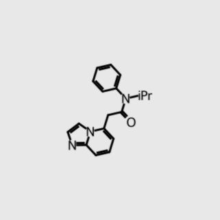 CC(C)N(C(=O)Cc1cccc2nccn12)c1ccccc1